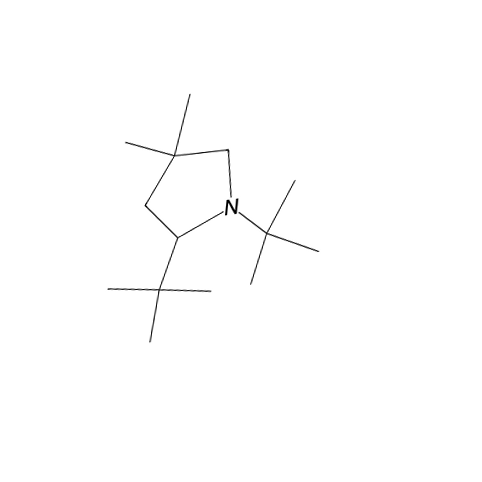 CC1(C)CC(C(C)(C)C)N(C(C)(C)C)C1